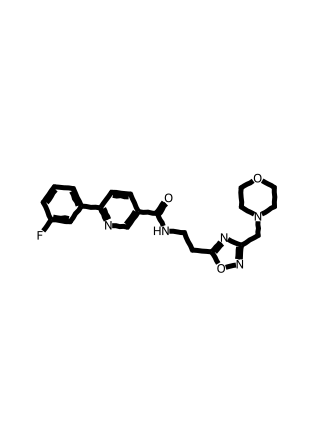 O=C(NCCc1nc(CN2CCOCC2)no1)c1ccc(-c2cccc(F)c2)nc1